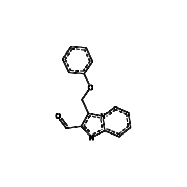 O=Cc1nc2ccccn2c1COc1ccccc1